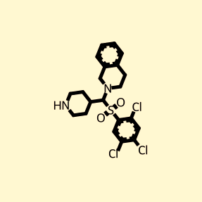 O=S(=O)(c1cc(Cl)c(Cl)cc1Cl)C(C1CCNCC1)N1CCc2ccccc2C1